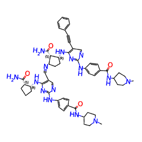 CN1CCC(NC(=O)c2ccc(Nc3ncc(C#Cc4ccccc4)c(N[C@@H]4CCC[C@@H]4C(N)=O)n3)cc2)CC1.CN1CCC(NC(=O)c2ccc(Nc3ncc(C#N)c(N[C@@H]4CCC[C@@H]4C(N)=O)n3)cc2)CC1